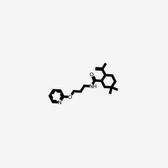 C=C(C)C1CCC(C)(C)CC1C(=O)NCCCOc1ccccn1